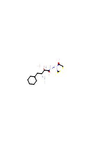 N[C@H](CC1CCCCC1)C(O)C(=O)NN1C(=O)CSC1=S